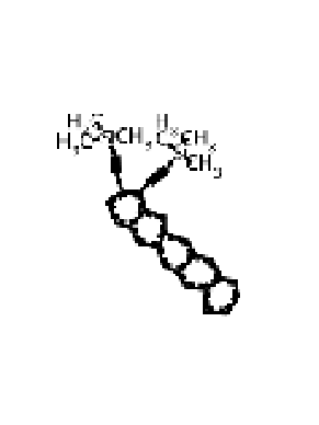 C[Si](C)(C)C#Cc1ccc2cc3cc4cc5ccccc5cc4cc3cc2c1C#C[Si](C)(C)C